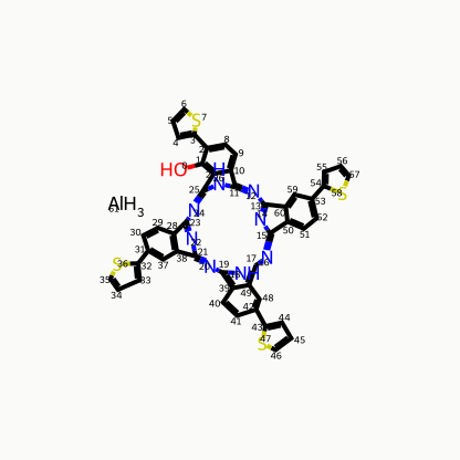 Oc1c(-c2cccs2)ccc2c3nc4nc(nc5[nH]c(nc6nc(nc([nH]3)c12)-c1ccc(-c2cccs2)cc1-6)c1ccc(-c2cccs2)cc51)-c1ccc(-c2cccs2)cc1-4.[AlH3]